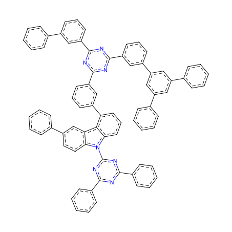 c1ccc(-c2cc(-c3ccccc3)cc(-c3cccc(-c4nc(-c5cccc(-c6ccccc6)c5)nc(-c5cccc(-c6cccc7c6c6cc(-c8ccccc8)ccc6n7-c6nc(-c7ccccc7)nc(-c7ccccc7)n6)c5)n4)c3)c2)cc1